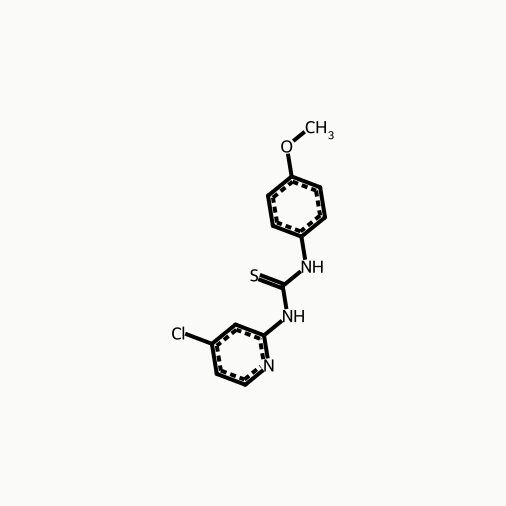 COc1ccc(NC(=S)Nc2cc(Cl)ccn2)cc1